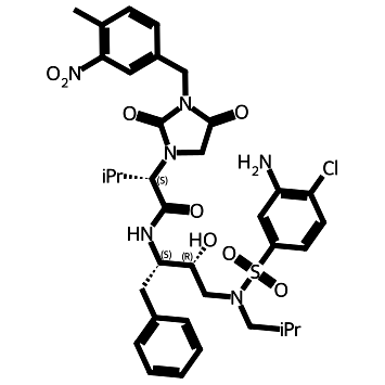 Cc1ccc(CN2C(=O)CN([C@H](C(=O)N[C@@H](Cc3ccccc3)[C@H](O)CN(CC(C)C)S(=O)(=O)c3ccc(Cl)c(N)c3)C(C)C)C2=O)cc1[N+](=O)[O-]